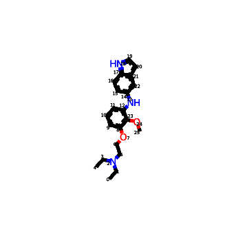 CCN(CC)CCOc1cccc(Nc2ccc3[nH]ccc3c2)c1OC